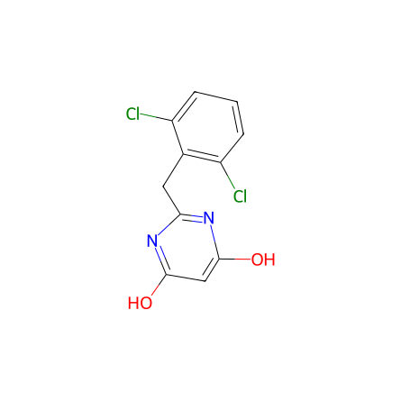 Oc1cc(O)nc(Cc2c(Cl)cccc2Cl)n1